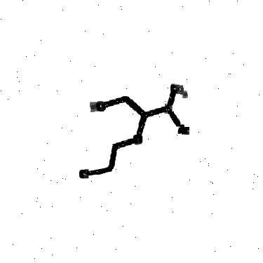 CC(=O)N(C)C(CO)OCCCl